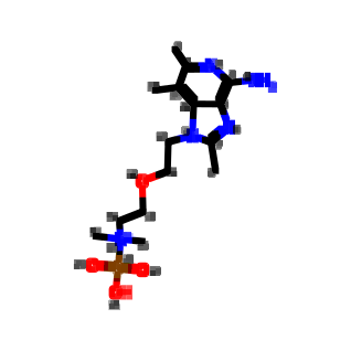 Cc1nc(N)c2nc(C)n(CCOCC[N+](C)(C)S(=O)(=O)O)c2c1C